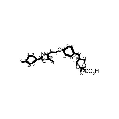 Cc1ccc(-c2nc(CCOc3ccc(CC4COC(C)(C(=O)O)OC4)cc3)c(C)o2)cc1